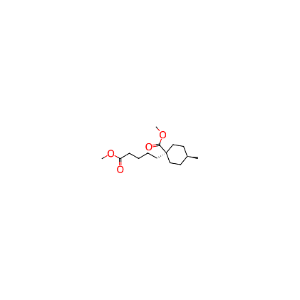 COC(=O)CCCC[C@]1(C(=O)OC)CC[C@@H](C)CC1